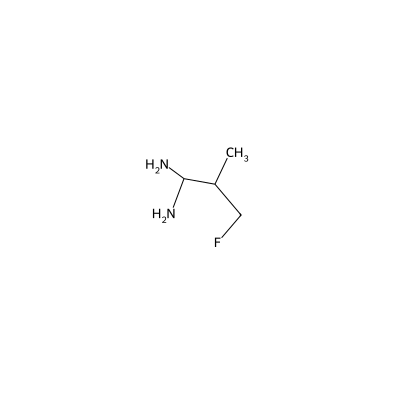 CC(CF)C(N)N